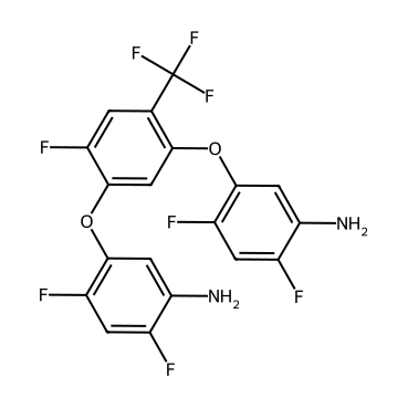 Nc1cc(Oc2cc(Oc3cc(N)c(F)cc3F)c(C(F)(F)F)cc2F)c(F)cc1F